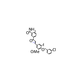 COc1cc(/C=C/C(=O)c2cccc(C(N)=O)c2)cc(I)c1OCc1cccc(Cl)c1